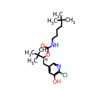 CC(C)(C)CCCCNC(=O)O[C@@H](Cc1cnc(Cl)c(O)c1)C(C)(C)C